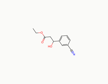 CCOC(=O)CC(O)c1cccc(C#N)c1